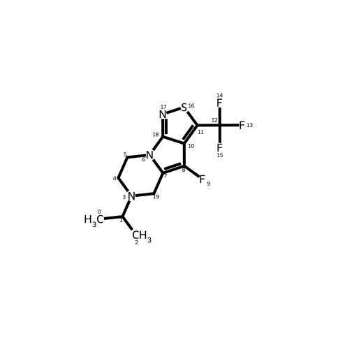 CC(C)N1CCn2c(c(F)c3c(C(F)(F)F)snc32)C1